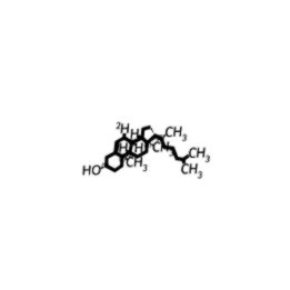 [2H]C1C=C2C[C@@H](O)CC[C@]2(C)[C@H]2CC[C@]3(C)[C@@H]([C@H](C)CCCC(C)C)CC[C@H]3[C@H]12